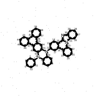 c1ccc(N2c3ccccc3N(c3ccc4c(c3)c3ccccc3n3c5ccccc5nc43)c3cc4c5ccccc5c5ccccc5c4cc32)cc1